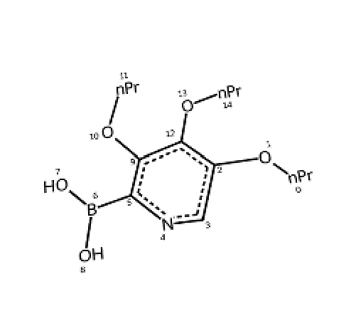 CCCOc1cnc(B(O)O)c(OCCC)c1OCCC